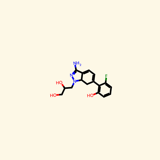 NC1=NN(CC(O)CO)C2CC(c3c(O)cccc3F)=CC=C12